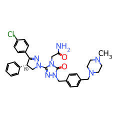 CN1CCN(Cc2ccc(Cn3nc(N4C[C@H](c5ccccc5)C(c5ccc(Cl)cc5)=N4)n(CC(N)=O)c3=O)cc2)CC1